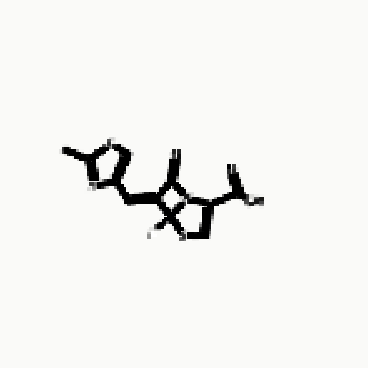 Cc1nc(C=C2C(=O)N3C(C(=O)O)=CS[C@H]23)co1